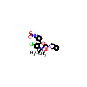 CC(C)(C)CN1C(=O)C(CC(=O)N2CCc3ccccc3C2)OC(c2cccc(CNC(=O)O)c2)c2cc(Cl)ccc21